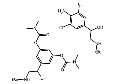 CC(C)(C)NCC(O)c1cc(Cl)c(N)c(Cl)c1.CN(C)C(=O)Oc1cc(OC(=O)N(C)C)cc(C(O)CNC(C)(C)C)c1